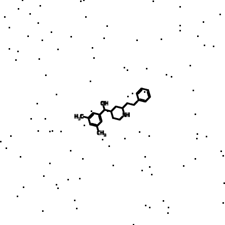 Cc1cc(C)cc(C(O)C2CCNC(CCc3ccccc3)C2)c1